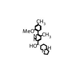 COc1cc(C)ccc1-c1nnc(C(O)[C@@H]2CC[C@H]3CCCN3C2)cc1C